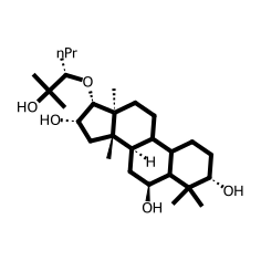 CCC[C@H](O[C@H]1[C@@H](O)C[C@@]2(C)[C@@H]3C[C@H](O)C4C(CC[C@H](O)C4(C)C)C3CC[C@]12C)C(C)(C)O